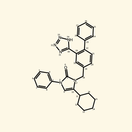 O=c1n(-c2ccccc2)cc(C2CCCCC2)n1Cc1ccc(-c2ccccc2)c(-c2nnn[nH]2)c1